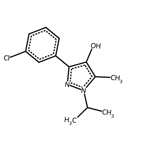 Cc1c(O)c(-c2cccc(Cl)c2)nn1C(C)C